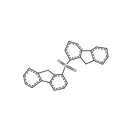 O=S(=O)(c1cccc2c1Cc1ccccc1-2)c1cccc2c1Cc1ccccc1-2